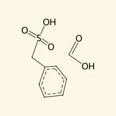 O=CO.O=S(=O)(O)Cc1ccccc1